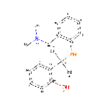 CCC(CC)(Pc1ccccc1CN(C)C)c1ccccc1O